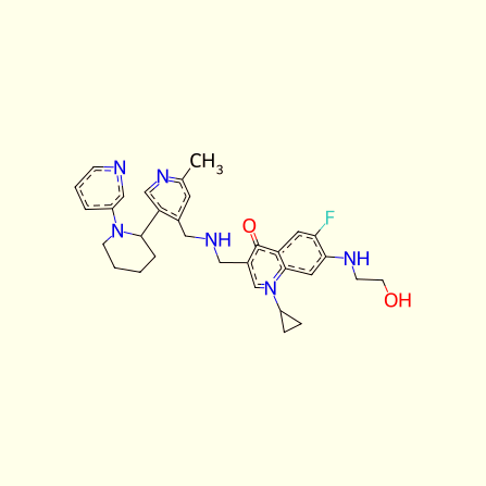 Cc1cc(CNCc2cn(C3CC3)c3cc(NCCO)c(F)cc3c2=O)c(C2CCCCN2c2cccnc2)cn1